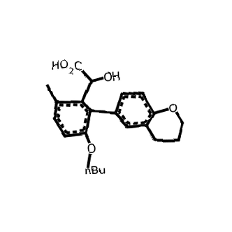 CCCCOc1ccc(C)c(C(O)C(=O)O)c1-c1ccc2c(c1)CCCO2